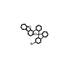 OC1(c2ccccc2-c2cccc3c2oc2ccccc23)c2ccccc2-c2ccc(Br)cc21